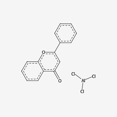 O=c1cc(-c2ccccc2)oc2ccccc12.[Cl][Al]([Cl])[Cl]